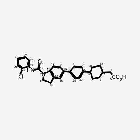 O=C(O)CC1CCC(c2ccc(-c3ccc4c(c3)CCN4C(=O)Nc3ccccc3Cl)cc2)CC1